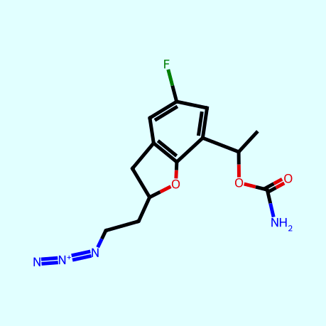 CC(OC(N)=O)c1cc(F)cc2c1OC(CCN=[N+]=[N-])C2